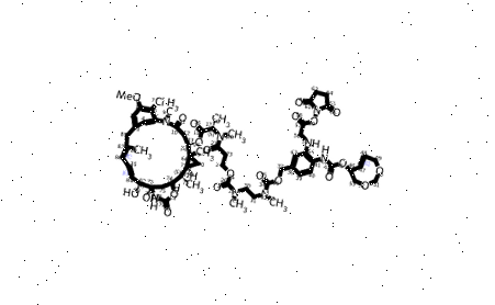 COc1cc2cc(c1Cl)N(C)C(=O)C[C@H](OC(=O)[C@H](C)N(C)C(=O)CCOC(=O)N(C)CCN(C)C(=O)OCc1ccc(NC(=O)OC3/C=C/COCOC3)c(NCC(=O)ON3C(=O)CCC3=O)c1)C1(C)C[C@H]1[C@H](C)[C@@H]1C[C@@](O)(NC(=O)O1)[C@H](O)/C=C/C=C(\C)C2